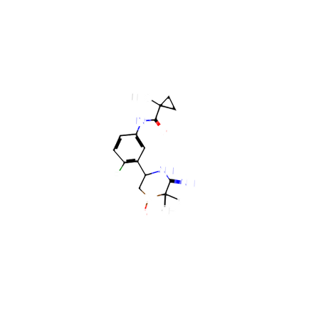 CC1(C(=O)Nc2ccc(F)c(C3C[S+]([O-])C(C)(C)C(=N)N3)c2)CC1